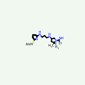 CCC(=N)N1CC(NCCCNc2cccc(SNC)n2)CC1(C)C